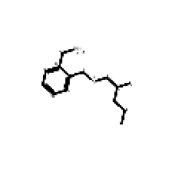 CCCC(C)CNCc1ccccc1CN